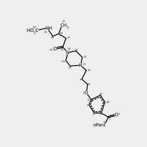 CCCCCC(=O)c1ccc(OCCCN2CCN(C(=O)CC(C)CNC(=O)O)CC2)cc1